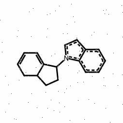 [c]1cn(C2CCC3CC=CC=C32)c2ccccc12